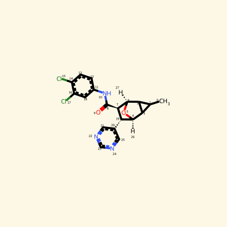 CC1C2C1[C@@H]1O[C@H]2[C@H](C(=O)Nc2ccc(Cl)c(Cl)c2)[C@H]1c1cncnc1